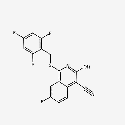 N#Cc1c(O)nc(SCc2c(F)cc(F)cc2F)c2cc(F)ccc12